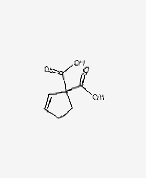 O=C(O)C1(C(=O)O)C=CCC1